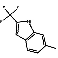 Cc1ccc2cc(C(F)(F)F)[nH]c2c1